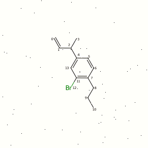 C=C[C](C)c1ccc(CCC)c(Br)c1